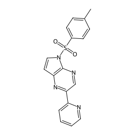 Cc1ccc(S(=O)(=O)n2ccc3nc(-c4ccccn4)cnc32)cc1